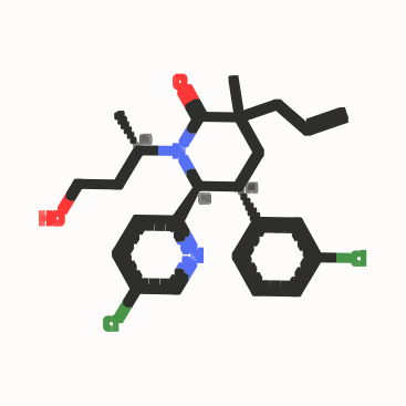 C=CCC1(C)C[C@H](c2cccc(Cl)c2)[C@@H](c2ccc(Cl)cn2)N([C@@H](C)CCO)C1=O